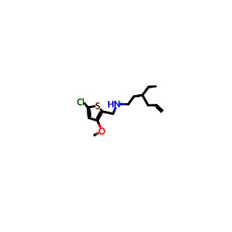 C=CCC(CC)CCNCc1sc(Cl)cc1OC